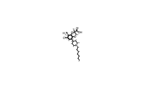 CCCCCCCN1CCC(c2cc(Cl)c(N)c3c2OCC(C)(C(=O)O)O3)CC1